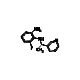 C[C@H](Nc1c(N)cccc1F)c1cccnc1